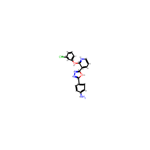 Nc1ccc(-c2nnc(-c3cccnc3Oc3cccc(Cl)c3)o2)cc1